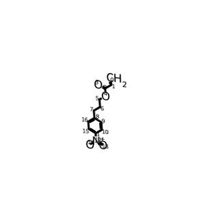 C=CC(=O)OCCCc1ccc([N+](=O)[O-])cc1